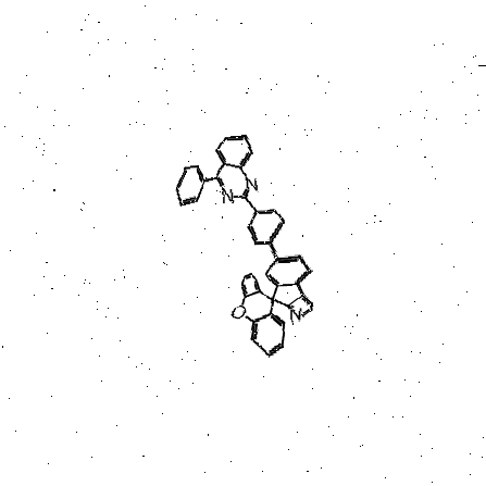 c1ccc(-c2nc(-c3ccc(-c4ccc5c(c4)C4(c6ccccc6Oc6ccccc64)c4ncccc4-5)cc3)nc3ccccc23)cc1